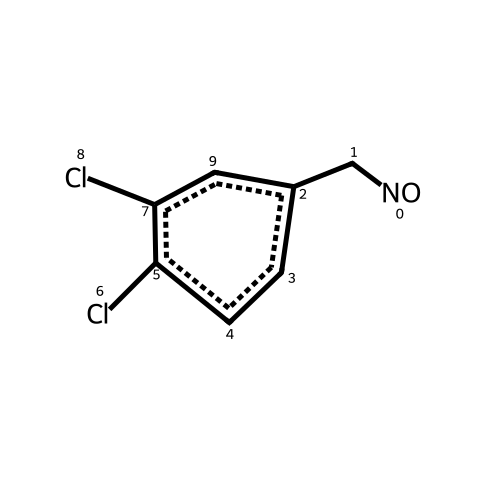 O=NCc1ccc(Cl)c(Cl)c1